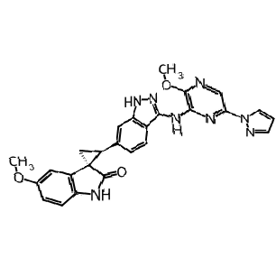 COc1ccc2c(c1)[C@]1(C[C@H]1c1ccc3c(Nc4nc(-n5cccn5)cnc4OC)n[nH]c3c1)C(=O)N2